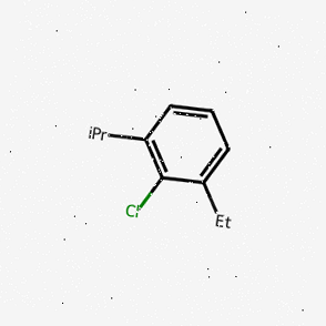 [CH2]C(C)c1cccc(CC)c1Cl